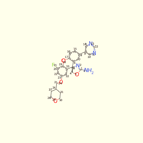 NC1=N[C@@]2(CO1)c1cc(-c3cncnc3)ccc1Oc1c(F)cc(OCC3CCOCC3)cc12